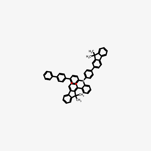 CC1(C)c2ccccc2-c2ccc(-c3ccc(N(c4ccc(-c5ccc(-c6ccccc6)cc5)cc4)c4ccccc4-c4cccc5c4C(C)(C)c4ccccc4-5)cc3)cc21